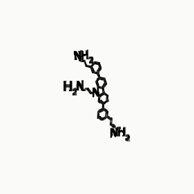 NCCCc1cccc(-c2ccc3c4ccc(-c5cccc(CCCN)c5)cc4n(CCCN)c3c2)c1